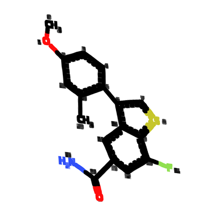 COc1ccc(-c2csc3c(F)cc(C(N)=O)cc23)c(C)c1